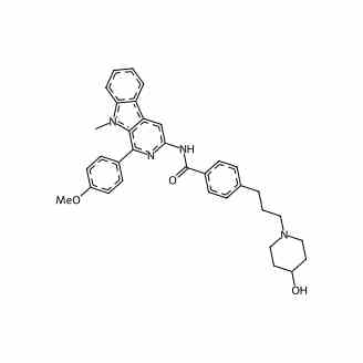 COc1ccc(-c2nc(NC(=O)c3ccc(CCCN4CCC(O)CC4)cc3)cc3c4ccccc4n(C)c23)cc1